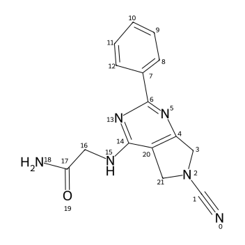 N#CN1Cc2nc(-c3ccccc3)nc(NCC(N)=O)c2C1